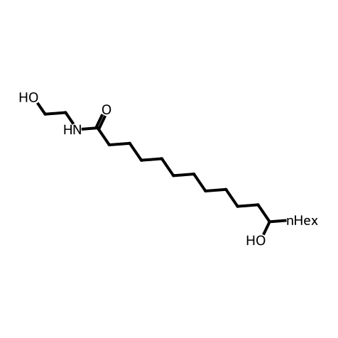 CCCCCCC(O)CCCCCCCCCCC(=O)NCCO